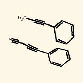 CC#Cc1ccccc1.N#CC#Cc1ccccc1